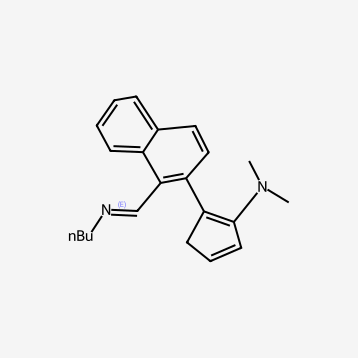 CCCC/N=C/c1c(C2=C(N(C)C)C=CC2)ccc2ccccc12